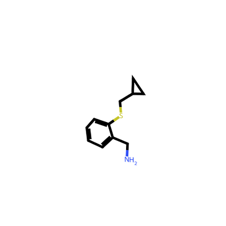 NCc1ccccc1SCC1CC1